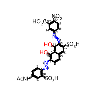 CC(=O)Nc1ccc(/N=N/c2ccc3cc(S(=O)(=O)O)c(/N=N/c4ccc([N+](=O)[O-])c(C(=O)O)c4)c(O)c3c2O)c(S(=O)(=O)O)c1